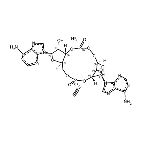 C#S[P@]1(=O)OC[C@H]2O[C@@H](n3cnc4c(N)ncnc43)[C@H](O)[C@@H]2O[P@](=O)(S)OC[C@H]2O[C@@H](n3cnc4c(N)ncnc43)[C@H](O1)[C@@H]2O